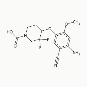 COc1cc(N)c(C#N)cc1OC1CCN(C(=O)O)CC1(F)F